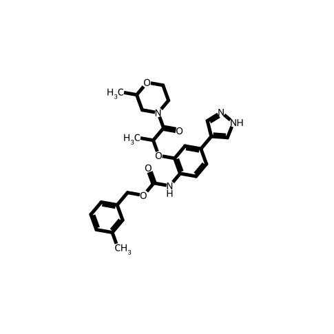 Cc1cccc(COC(=O)Nc2ccc(-c3cn[nH]c3)cc2OC(C)C(=O)N2CCOC(C)C2)c1